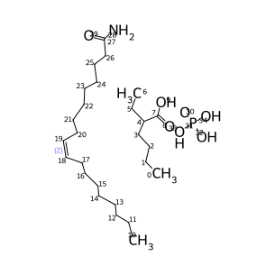 CCCCC(CC)C(=O)O.CCCCCCCC/C=C\CCCCCCCC(N)=O.O=P(O)(O)O